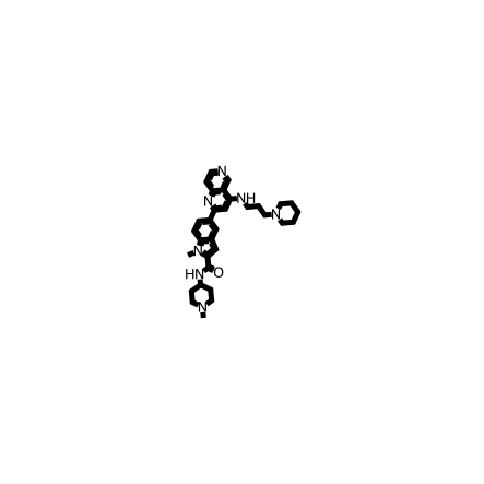 CN1CCC(NC(=O)c2cc3cc(-c4cc(NCCCN5CCCCC5)c5cnccc5n4)ccc3n2C)CC1